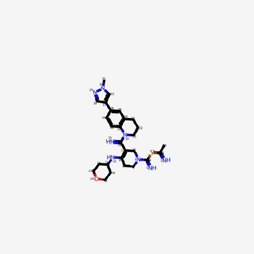 CC(=N)SC(=N)N1CCC(NC2CCOCC2)=C(C(=N)N2CCCc3cc(-c4cnn(C)c4)ccc32)C1